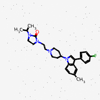 Cc1ccc2c(c1)c(-c1ccc(F)cc1)cn2C1CCN(CCN2CCN(C(C)C)C2=O)CC1